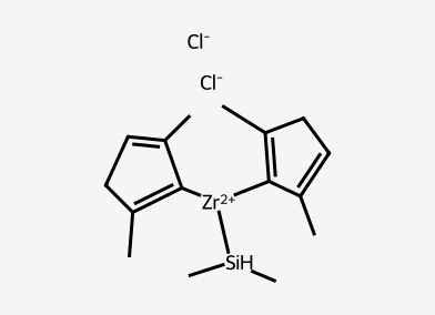 CC1=CCC(C)=[C]1[Zr+2]([C]1=C(C)CC=C1C)[SiH](C)C.[Cl-].[Cl-]